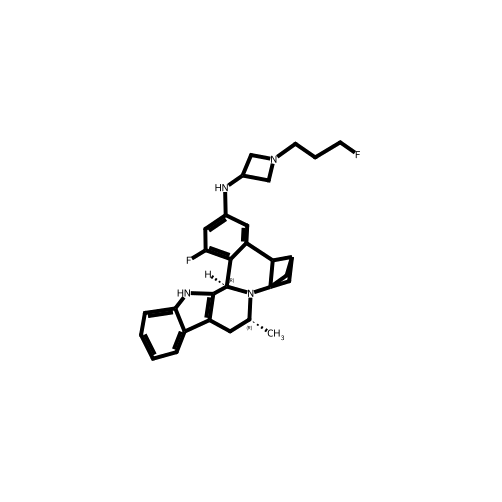 C[C@@H]1Cc2c([nH]c3ccccc23)[C@H]2c3c(F)cc(NC4CN(CCCF)C4)cc3C3C4CC3(C4)N21